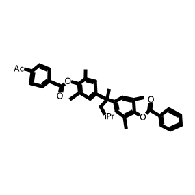 CC(=O)c1ccc(C(=O)Oc2c(C)cc(C(C)(CC(C)C)c3cc(C)c(OC(=O)c4ccccc4)c(C)c3)cc2C)cc1